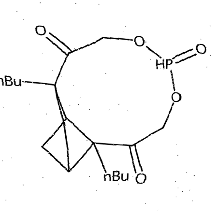 CCCCC12C(=O)CO[PH](=O)OCC(=O)C3(CCCC)C1CC23